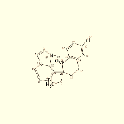 CCC1(C2=NC=CN3C=CNC23)CCc2nc(Cl)ccc2C1=O